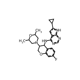 CC1CN(C2COc3cc(F)ccc3C2Nc2ncnc3[nH]c(C4CC4)cc23)CC(C)O1